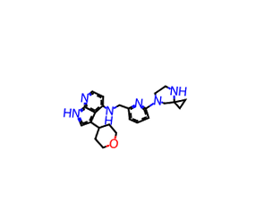 c1cc(CNc2ccnc3[nH]cc(C4CCOCC4)c23)nc(N2CCNC3(CC3)C2)c1